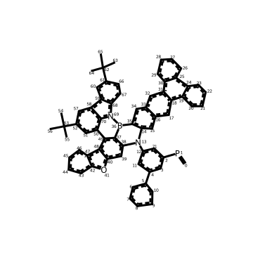 C=Pc1cc(-c2ccccc2)cc(N2c3cc4cc5c6ccccc6c6ccccc6c5cc4cc3B3c4c2cc2oc5ccccc5c2c4-c2cc(C(C)(C)C)cc4c5cc(C(C)(C)C)ccc5n3c24)c1